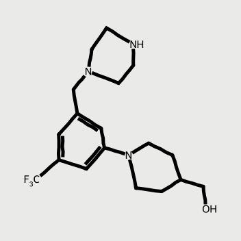 OCC1CCN(c2cc(CN3CCNCC3)cc(C(F)(F)F)c2)CC1